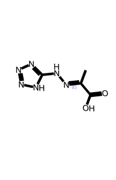 C/C(=N\Nc1nnn[nH]1)C(=O)O